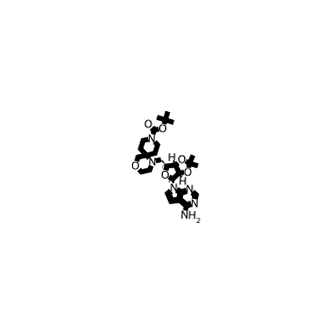 CC(C)(C)OC(=O)N1CCC2(CC1)COCCN2C[C@H]1O[C@@H](n2ccc3c(N)ncnc32)[C@@H]2OC(C)(C)O[C@@H]21